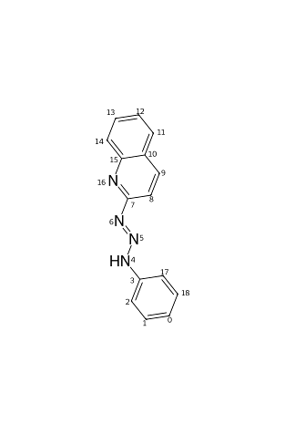 c1ccc(N/N=N/c2ccc3ccccc3n2)cc1